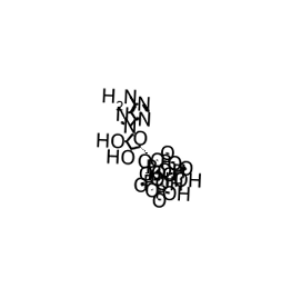 Nc1ncnc2c1ncn2[C@@H]1O[C@H](COP(=O)(OP(=O)(O)OP(=O)(O)O)OP(=O)(O)OP(=O)(O)O)[C@@H](O)[C@H]1O